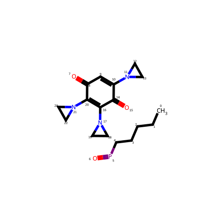 CCCCCP=O.O=C1C=C(N2CC2)C(=O)C(N2CC2)=C1N1CC1